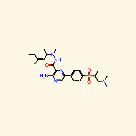 CC/C(F)=C\C(C)N(C)NC(=O)c1nc(-c2ccc(S(=O)(=O)C(C)CN(C)C)cc2)cnc1N